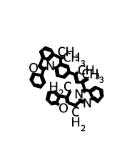 C=Cc1c(C(=C)c2nc(C(/C=C(\C)c3ccc4c(c3)C(C)(C)c3cccc5c6oc7ccccc7c6n-4c35)=C/C)c3ccccc3n2)oc2ccccc12